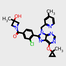 Cc1ccnc(Cn2c(-c3ccc(C(=O)N4CC(C)(O)C4)cc3Cl)nc3c(OC4(C)CC4)ncnc32)c1